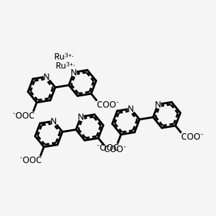 O=C([O-])c1ccnc(-c2cc(C(=O)[O-])ccn2)c1.O=C([O-])c1ccnc(-c2cc(C(=O)[O-])ccn2)c1.O=C([O-])c1ccnc(-c2cc(C(=O)[O-])ccn2)c1.[Ru+3].[Ru+3]